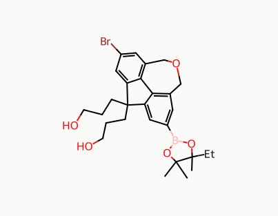 CCC1(C)OB(c2cc3c4c(c2)C(CCCO)(CCCO)c2cc(Br)cc(c2-4)COC3)OC1(C)C